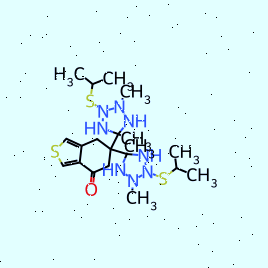 CC(C)SN1NC(C)(C2(C3(C)NN(C)N(SC(C)C)N3)CC(=O)c3cscc3C2)NN1C